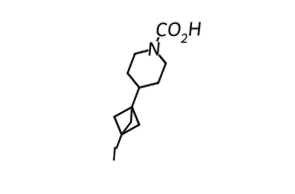 O=C(O)N1CCC(C23CC(I)(C2)C3)CC1